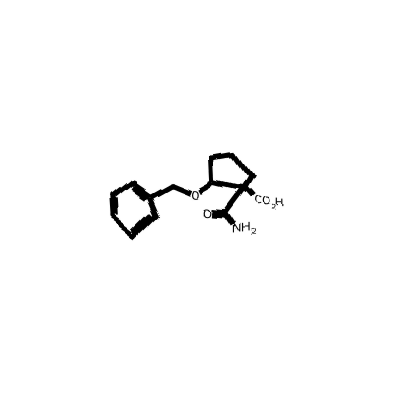 NC(=O)C1(C(=O)O)CCCC1OCc1ccccc1